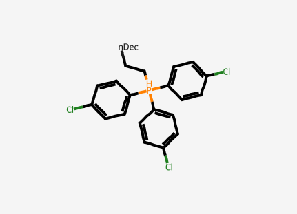 CCCCCCCCCCCC[PH](c1ccc(Cl)cc1)(c1ccc(Cl)cc1)c1ccc(Cl)cc1